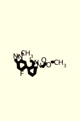 CCOC(=O)Cn1nc(I)c2c(-c3cc4c(cnn4C)cc3F)cccc21